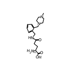 CN1CCN(Cc2ccccc2CNC(=O)CC[C@H](N)C(=O)O)CC1